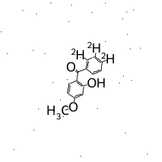 [2H]c1ccc(C(=O)c2ccc(OC)cc2O)c([2H])c1[2H]